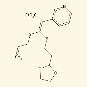 C=CCSC(SCCC1OCCO1)=C(C(=O)OCC)c1cccnc1